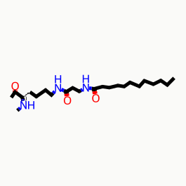 CCCCCCCCCCCC(=O)NCCC(=O)NCCCC[C@H](NC)C(C)=O